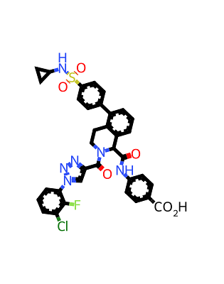 O=C(O)c1ccc(NC(=O)C2c3cccc(-c4ccc(S(=O)(=O)NC5CC5)cc4)c3CCN2C(=O)c2cn(-c3cccc(Cl)c3F)nn2)cc1